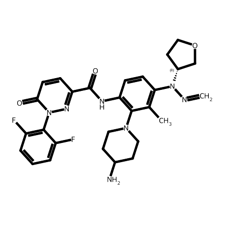 C=NN(c1ccc(NC(=O)c2ccc(=O)n(-c3c(F)cccc3F)n2)c(N2CCC(N)CC2)c1C)[C@@H]1CCOC1